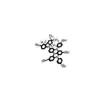 CC1(C)CC2(C)c3cc(C(C)(C)C)ccc3N(c3ccc4c(c3)N(c3ccc(C(C)(C)C)cc3)c3cc(C(C)(C)C)cc5c3B4c3cc(C(C)(C)C)ccc3N5c3ccc(C(C)(C)C)cc3)C2(C)C1